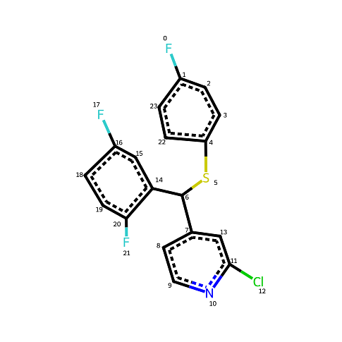 Fc1ccc(SC(c2ccnc(Cl)c2)c2cc(F)ccc2F)cc1